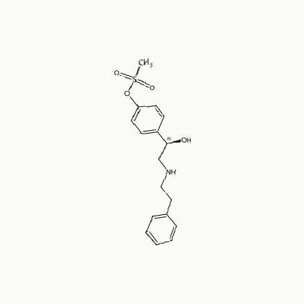 CS(=O)(=O)Oc1ccc([C@@H](O)CNCCc2ccccc2)cc1